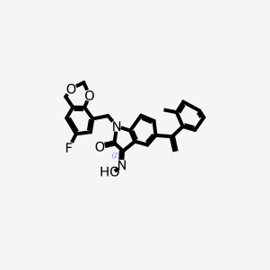 C=C(c1ccc2c(c1)/C(=N/O)C(=O)N2Cc1cc(F)cc2c1OCOC2)c1ccccc1C